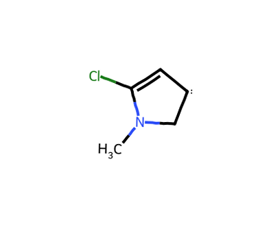 CN1C[C]C=C1Cl